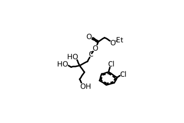 CCOCC(=O)OCCC(O)(CO)CCO.Clc1ccccc1Cl